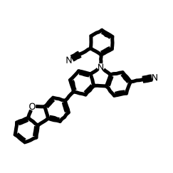 N#Cc1ccc2c3cc(-c4ccc5c(c4)oc4ccccc45)ccc3n(C3=CC=CCC3C#N)c2c1